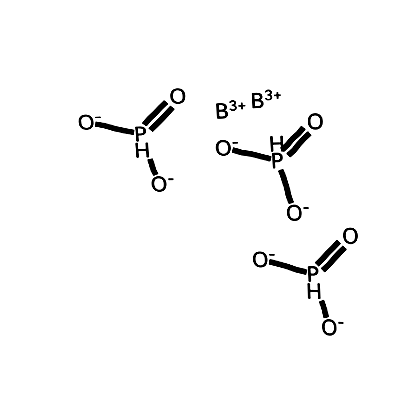 O=[PH]([O-])[O-].O=[PH]([O-])[O-].O=[PH]([O-])[O-].[B+3].[B+3]